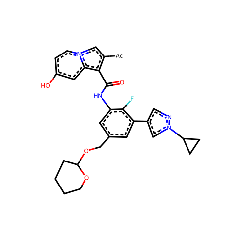 CC(=O)c1cn2ccc(O)cc2c1C(=O)Nc1cc(COC2CCCCO2)cc(-c2cnn(C3CC3)c2)c1F